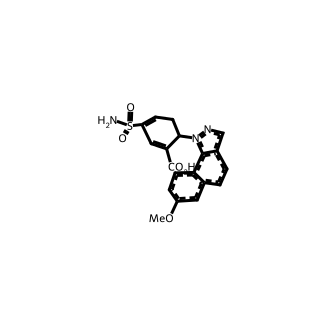 COc1ccc2c(ccc3cnn(C4CC=C(S(N)(=O)=O)C=C4C(=O)O)c32)c1